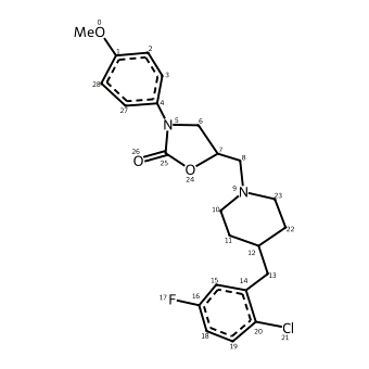 COc1ccc(N2CC(CN3CCC(Cc4cc(F)ccc4Cl)CC3)OC2=O)cc1